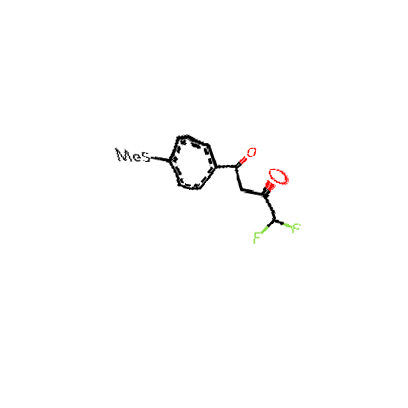 CSc1ccc(C(=O)CC(=O)C(F)F)cc1